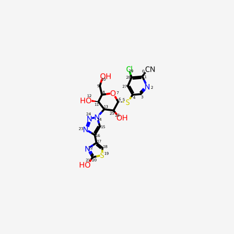 N#Cc1ncc(S[C@H]2OC(CO)[C@H](O)C(n3cc(-c4csc(O)n4)nn3)C2O)cc1Cl